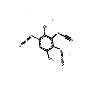 Cc1cc(N=C=O)c(C)c(OC#N)c1N=C=O